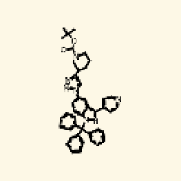 CC(C)(C)OC(=O)N1CCCC(c2cn(-c3ccc4c(c3)c(-c3ccncc3)nn4C(c3ccccc3)(c3ccccc3)c3ccccc3)nn2)C1